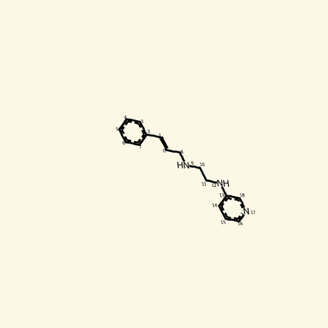 C(=Cc1ccccc1)CNCCNc1cccnc1